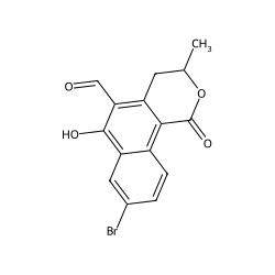 CC1Cc2c(C=O)c(O)c3cc(Br)ccc3c2C(=O)O1